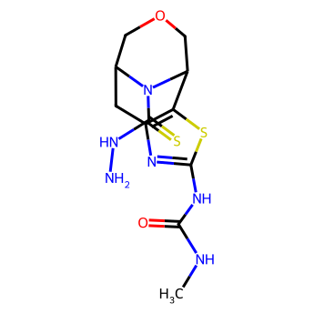 CNC(=O)Nc1nc2c(s1)C1COCC(C2)N1C(=S)NN